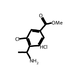 COC(=O)c1ccc(C(C)N)c(Cl)c1.Cl